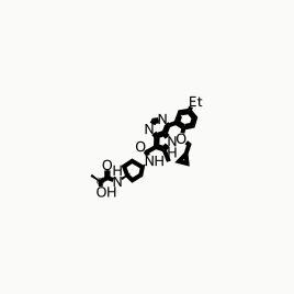 CCc1ccc(OCC2CC2)c(-c2ncnc3c(C(=O)N[C@H]4CC[C@H](NC(=O)[C@H](C)O)CC4)c(C)[nH]c23)c1